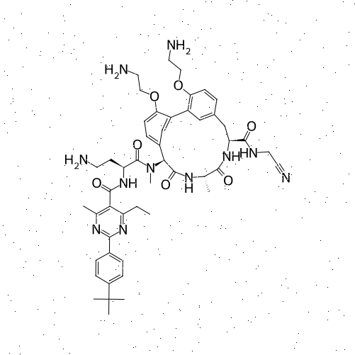 CCc1nc(-c2ccc(C(C)(C)C)cc2)nc(C)c1C(=O)N[C@@H](CCN)C(=O)N(C)[C@@H]1C(=O)N[C@@H](C)C(=O)N[C@H](C(=O)NCC#N)Cc2ccc(OCCN)c(c2)-c2cc1ccc2OCCN